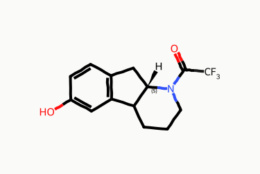 O=C(N1CCCC2c3cc(O)ccc3C[C@@H]21)C(F)(F)F